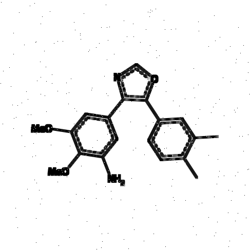 COc1cc(-c2ncoc2-c2ccc(C)c(C)c2)cc(N)c1OC